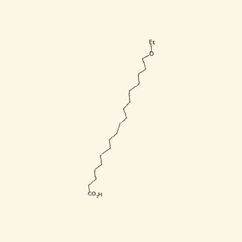 [CH2]COCCCCCCCCCCCCCCCCCC(=O)O